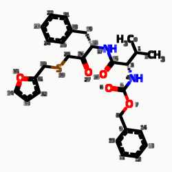 CC(C)[C@H](NC(=O)OCc1ccccc1)C(=O)N[C@@H](Cc1ccccc1)C(=O)CSCc1ccco1